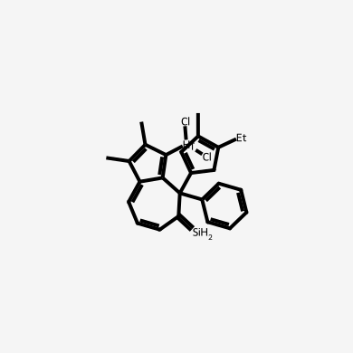 CCC1=C(C)C=C(C2(c3ccccc3)C(=[SiH2])C=CC=C3C(C)=C(C)[C]([Hf]([Cl])[Cl])=C32)C1